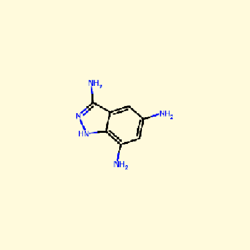 Nc1cc(N)c2[nH]nc(N)c2c1